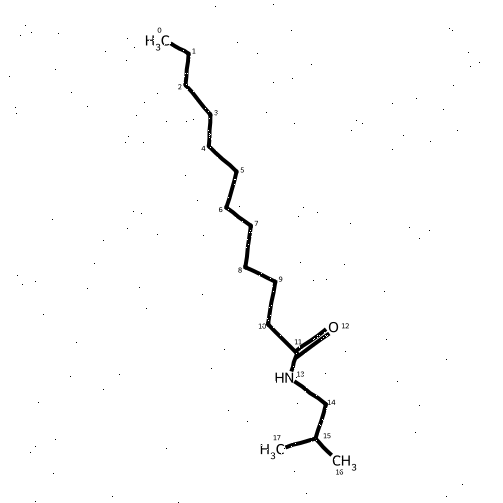 CCCCCCCCCCCC(=O)NCC(C)C